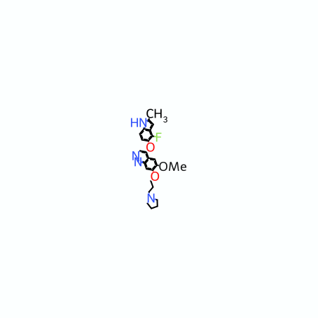 COc1cc2c(Oc3ccc4[nH]c(C)cc4c3F)cnnc2cc1OCCCN1CCCC1